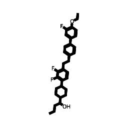 CCCC(O)C1CCC(c2ccc(CCc3ccc(-c4ccc(OCC)c(F)c4)cc3)c(F)c2F)CC1